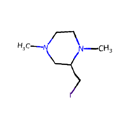 CN1CCN(C)C(CI)C1